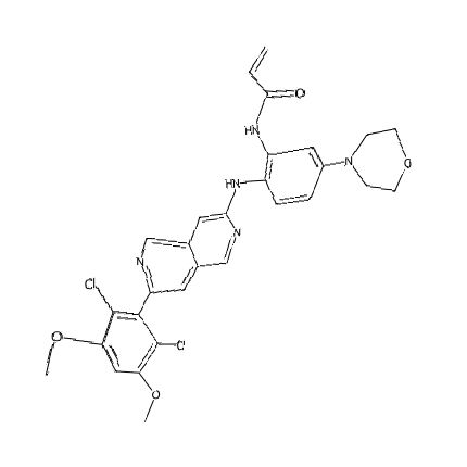 C=CC(=O)Nc1cc(N2CCOCC2)ccc1Nc1cc2cnc(-c3c(Cl)c(OC)cc(OC)c3Cl)cc2cn1